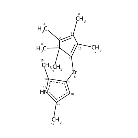 CC1=C(C)C(C)(C)[C]([Zr][c]2cc(C)[nH]c2C)=C1C